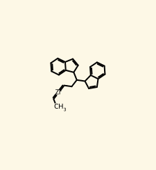 C[CH]=[Zr]=[CH]CC(C1C=Cc2ccccc21)C1C=Cc2ccccc21